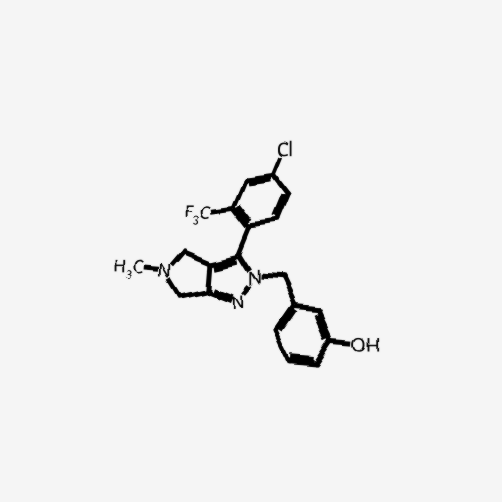 CN1Cc2nn(Cc3cccc(O)c3)c(-c3ccc(Cl)cc3C(F)(F)F)c2C1